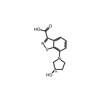 O=C(O)c1nsc2c(N3CC[C@@H](O)C3)cccc12